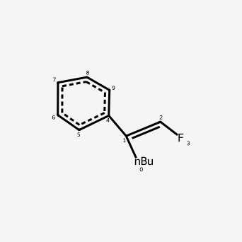 CCCCC(=CF)c1ccccc1